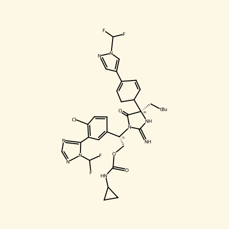 CC(C)(C)C[C@]1(C2C=CC(c3cnn(C(F)F)c3)=CC2)NC(=N)N([C@H](COC(=O)NC2CC2)c2ccc(Cl)c(-c3ncnn3C(F)F)c2)C1=O